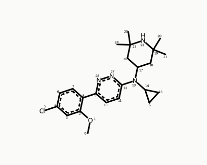 COc1cc(Cl)ccc1-c1ccc(N(C2CC2)C2CC(C)(C)NC(C)(C)C2)nn1